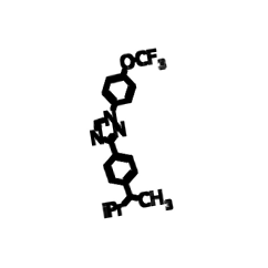 CC(C)C(C)c1ccc(-c2ncn(-c3ccc(OC(F)(F)F)cc3)n2)cc1